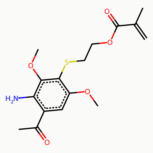 C=C(C)C(=O)OCCSc1c(OC)cc(C(C)=O)c(N)c1OC